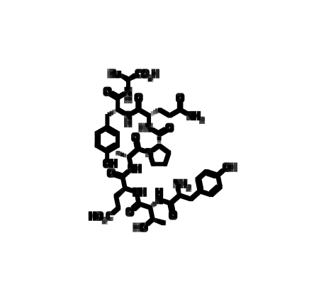 CC[C@H](C)[C@H](NC(=O)[C@@H](Cc1ccc(O)cc1)NC(=O)[C@H](CCC(N)=O)NC(=O)[C@@H]1CCCN1C(=O)[C@@H](C)NC(=O)[C@H](CCC(=O)O)NC(=O)[C@H](NC(=O)[C@@H](N)Cc1ccc(O)cc1)[C@@H](C)O)C(=O)O